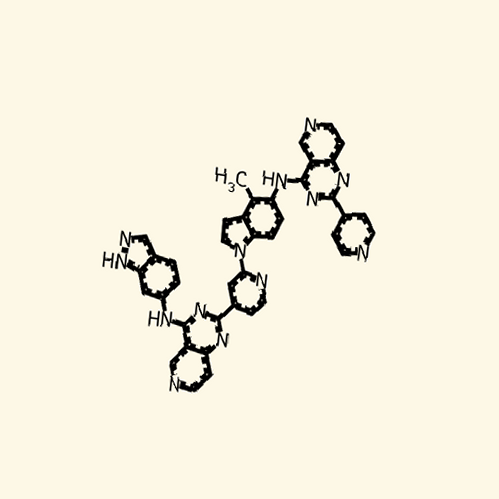 Cc1c(Nc2nc(-c3ccncc3)nc3ccncc23)ccc2c1ccn2-c1cc(-c2nc(Nc3ccc4cn[nH]c4c3)c3cnccc3n2)ccn1